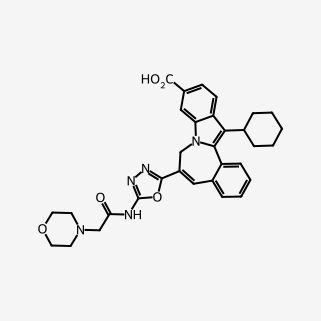 O=C(CN1CCOCC1)Nc1nnc(C2=Cc3ccccc3-c3c(C4CCCCC4)c4ccc(C(=O)O)cc4n3C2)o1